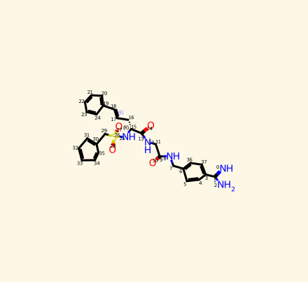 N=C(N)c1ccc(CNC(=O)CNC(=O)[C@@H](C/C=C/c2ccccc2)NS(=O)(=O)Cc2ccccc2)cc1